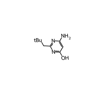 CC(C)(C)Cc1nc(N)cc(O)n1